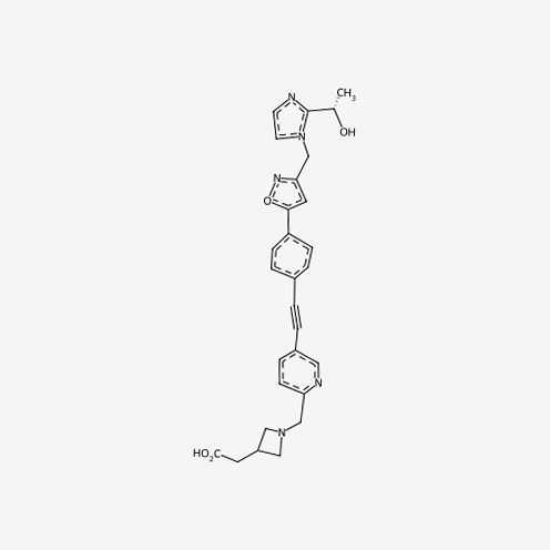 C[C@H](O)c1nccn1Cc1cc(-c2ccc(C#Cc3ccc(CN4CC(CC(=O)O)C4)nc3)cc2)on1